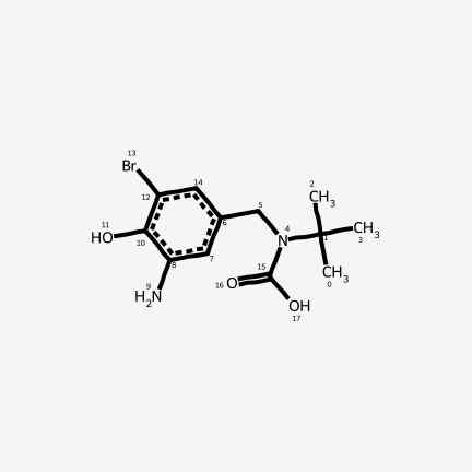 CC(C)(C)N(Cc1cc(N)c(O)c(Br)c1)C(=O)O